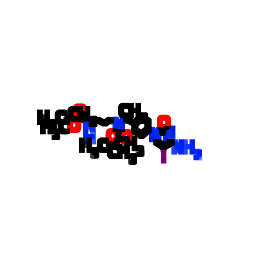 CC(c1ccc(-n2cc(I)c(N)nc2=O)cc1)N(CCCNC(=O)OC(C)(C)C)C(=O)OC(C)(C)C